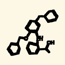 CC(O)c1ccccc1Pc1cc(CC2C=CC=CC2)ccc1OCc1ccccc1